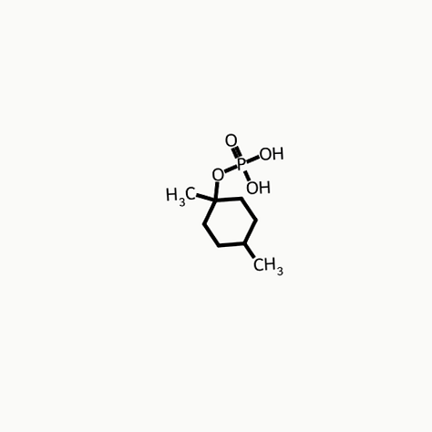 CC1CCC(C)(OP(=O)(O)O)CC1